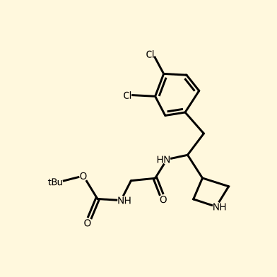 CC(C)(C)OC(=O)NCC(=O)NC(Cc1ccc(Cl)c(Cl)c1)C1CNC1